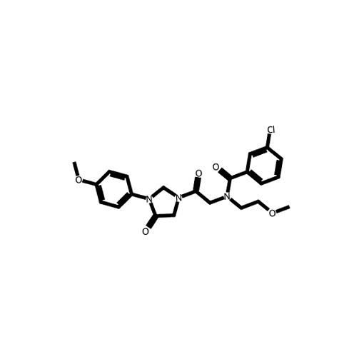 COCCN(CC(=O)N1CC(=O)N(c2ccc(OC)cc2)C1)C(=O)c1cccc(Cl)c1